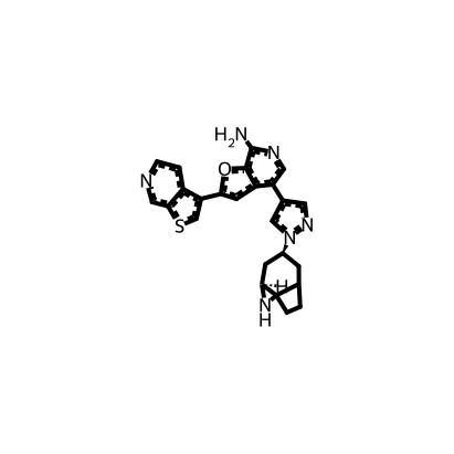 Nc1ncc(-c2cnn([C@H]3CC4CCC45N[C@H]5C3)c2)c2cc(-c3csc4cnccc34)oc12